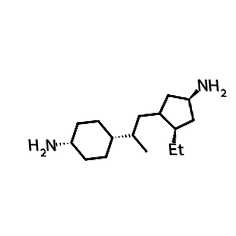 CC[C@@H]1C[C@H](N)CC1CC(C)[C@H]1CC[C@@H](N)CC1